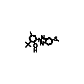 CSc1ccc2nn(-c3cc(C)cc(C(C)(C)C)c3O)nc2c1